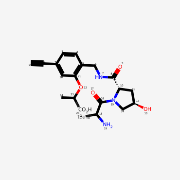 C#Cc1ccc(CNC(=O)[C@@H]2C[C@@H](O)CN2C(=O)C(N)C(C)(C)C)c(OC(C)C(=O)O)c1